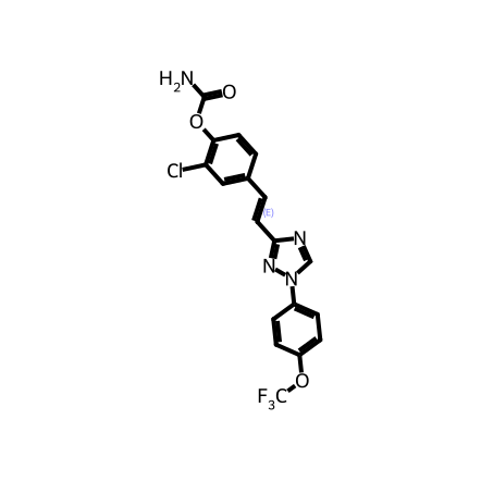 NC(=O)Oc1ccc(/C=C/c2ncn(-c3ccc(OC(F)(F)F)cc3)n2)cc1Cl